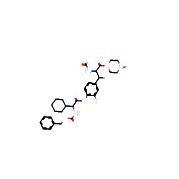 CC(c1ccc(NC(=O)C(NC(=O)OCc2ccccc2)C2CCCCC2)c(F)c1)C(NC(=O)OC(C)(C)C)C(=O)N1CCN(C)CC1